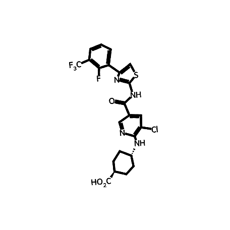 O=C(Nc1nc(-c2cccc(C(F)(F)F)c2F)cs1)c1cnc(N[C@H]2CC[C@H](C(=O)O)CC2)c(Cl)c1